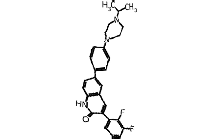 CC(C)N1CCN(c2ccc(-c3ccc4[nH]c(=O)c(-c5cccc(F)c5F)cc4c3)cc2)CC1